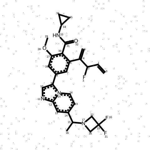 C=CC(F)C(=C)c1cc(-c2cnc3cc(C(C)N4CC(F)(F)C4)ccn23)cc(OC)c1C(=O)NC1CC1